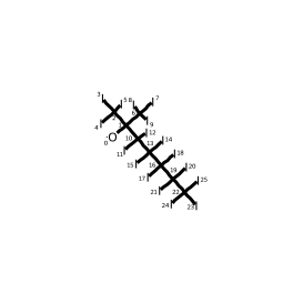 [O]C(C(I)(I)I)(C(I)(I)I)C(I)(I)C(I)(I)C(I)(I)C(I)(I)C(I)(I)I